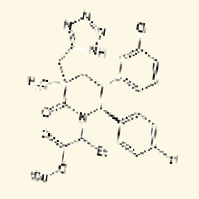 CCC(C(=O)OC(C)(C)C)N1C(=O)[C@@](C)(Cc2nnn[nH]2)C[C@H](c2cccc(Cl)c2)[C@H]1c1ccc(Cl)cc1